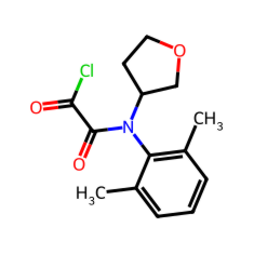 Cc1cccc(C)c1N(C(=O)C(=O)Cl)C1CCOC1